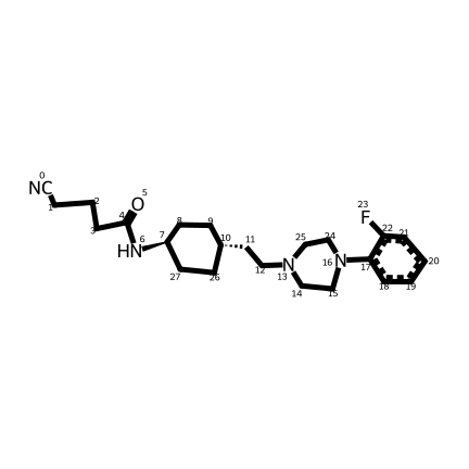 N#CCCCC(=O)N[C@H]1CC[C@H](CCN2CCN(c3ccccc3F)CC2)CC1